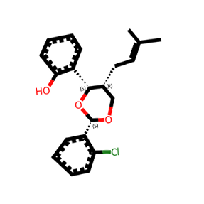 CC(C)=CC[C@@H]1CO[C@H](c2ccccc2Cl)O[C@@H]1c1ccccc1O